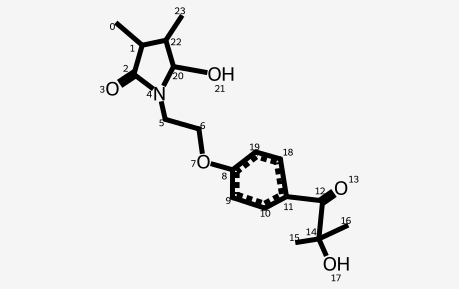 CC1C(=O)N(CCOc2ccc(C(=O)C(C)(C)O)cc2)C(O)C1C